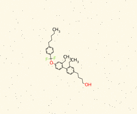 CCCCCc1ccc(C(F)(F)Oc2ccc(-c3ccc(CCCCO)cc3CC)c(CC)c2)cc1